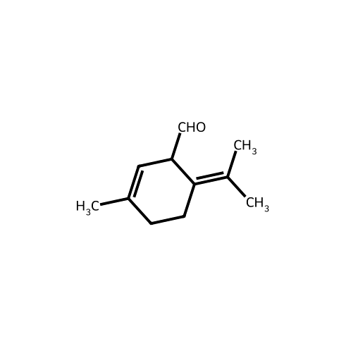 CC1=CC(C=O)C(=C(C)C)CC1